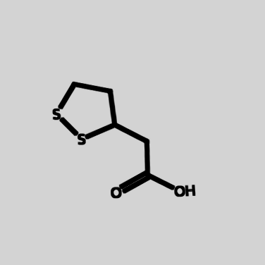 O=C(O)CC1CCSS1